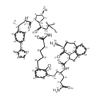 Cc1ncsc1-c1ccc([C@H](C)NC(=O)[C@@H]2C[C@@H](O)CN2C(=O)[C@@H](NC(=O)CCCCc2cccc(OC[C@H](CCC(N)=O)NC(=O)[C@@H]3Cc4cccc5c4N3C(=O)[C@@H](N)CC5)c2Cl)C(C)(C)C)cc1